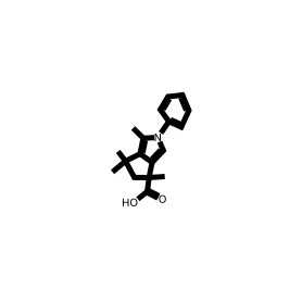 Cc1c2c(cn1-c1ccccc1)C(C)(C(=O)O)CC2(C)C